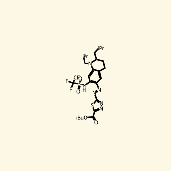 CC(C)COC(=O)c1nnc(N=Nc2cc3c(cc2NS(=O)(=O)C(F)(F)C(F)(F)F)N(CC(C)C)C(CC(C)C)CC3)s1